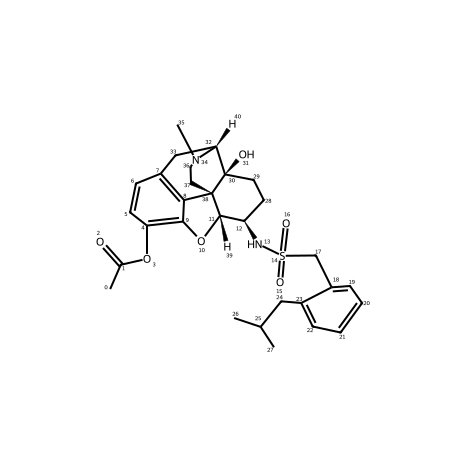 CC(=O)Oc1ccc2c3c1O[C@H]1[C@H](NS(=O)(=O)Cc4ccccc4CC(C)C)CC[C@@]4(O)[C@@H](C2)N(C)CC[C@]314